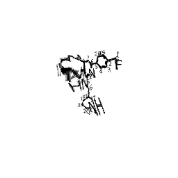 FCc1ccc(-c2cc3nccnc3c(NCC3CCCNC3)n2)cc1